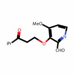 COc1ccnc(C=O)c1OCCC(=O)C(C)C